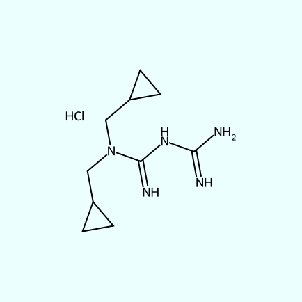 Cl.N=C(N)NC(=N)N(CC1CC1)CC1CC1